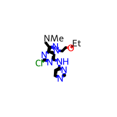 CCOCCn1nc(CNC)c2nc(Cl)nc(Nc3ccncn3)c21